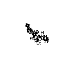 CCc1cc2n(CC(=O)Nc3ccc(F)cn3)c3c(c(=O)n2n1)CN(C[C@H]1CN(C2CCC2)CCO1)C3=O